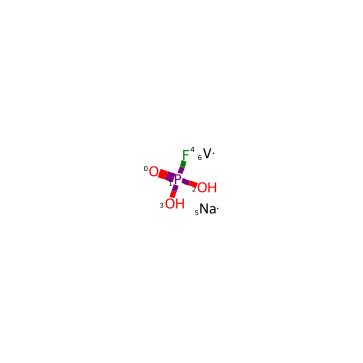 O=P(O)(O)F.[Na].[V]